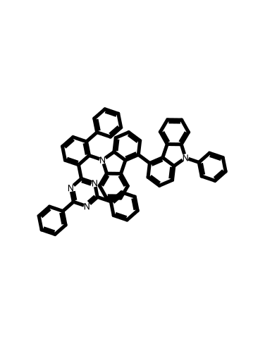 c1ccc(-c2nc(-c3ccccc3)nc(-c3cccc(-c4ccccc4)c3-n3c4ccccc4c4c(-c5cccc6c5c5ccccc5n6-c5ccccc5)cccc43)n2)cc1